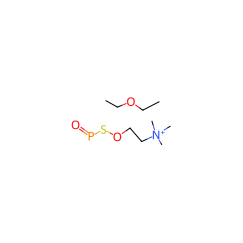 CCOCC.C[N+](C)(C)CCOSP=O